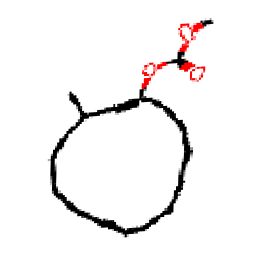 COC(=O)OC1=CC(C)CCCCCCCCCCCC1